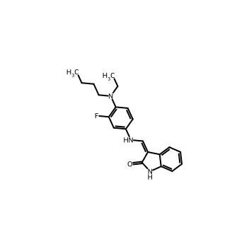 CCCCN(CC)c1ccc(NC=C2C(=O)Nc3ccccc32)cc1F